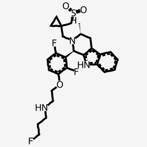 C[C@@H]1Cc2c([nH]c3ccccc23)[C@@H](c2c(F)ccc(OCCNCCCF)c2F)N1CC1(C[SH](=O)=O)CC1